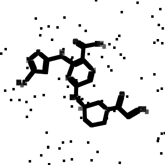 C=CC(=O)N1CCC[C@@H](Nc2cnc(C(N)=O)c(Nc3cc(C)ns3)n2)C1